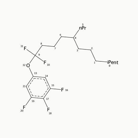 CCCC(C)CCCC(CCC)CCCC(F)(F)Oc1cc(F)c(F)c(F)c1